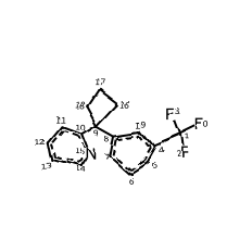 FC(F)(F)c1cccc(C2(c3ccccn3)CCC2)c1